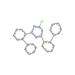 Clc1cc(-c2ccccc2-c2ccccc2)nc(-c2ccccc2-c2ccccc2)n1